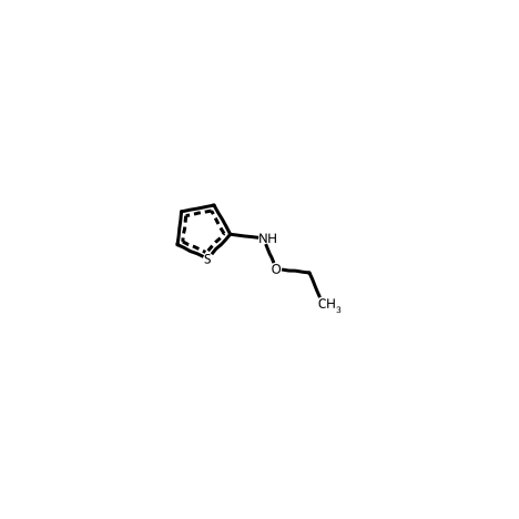 CCONc1cccs1